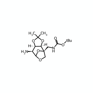 CC(C)(C)OC(=O)NC[C@@]12COC(O1)[C@@H](N)[C@H]1OC(C)(C)O[C@H]12